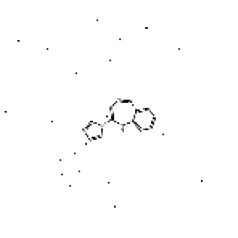 C1=NC=C(n2ccnc2)Nc2ccccc21